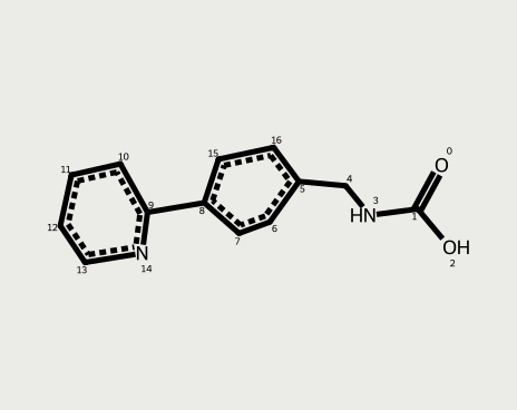 O=C(O)NCc1ccc(-c2ccccn2)cc1